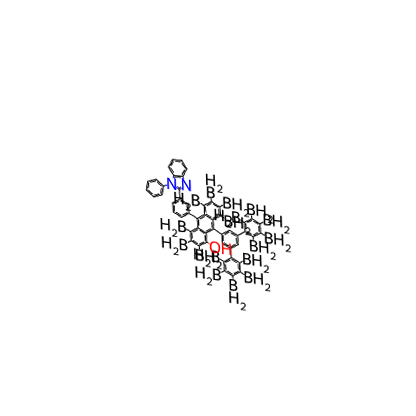 Bc1c(B)c(B)c(-c2cc(-c3c(B)c(B)c(B)c(B)c3B)cc(-c3c4c(B)c(B)c(B)c(B)c4c(-c4cccc(-c5nc6ccccc6n5-c5ccccc5)c4)c4c(B)c(B)c(B)c(O)c34)c2)c(B)c1B